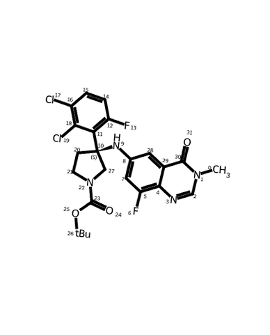 Cn1cnc2c(F)cc(N[C@]3(c4c(F)ccc(Cl)c4Cl)CCN(C(=O)OC(C)(C)C)C3)cc2c1=O